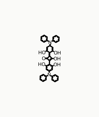 O=C1C(=C2C(O)=CC(=[N+](c3ccccc3)c3ccccc3)C=C2O)C(O)=C1c1c(O)cc(N(c2ccccc2)c2ccccc2)cc1O